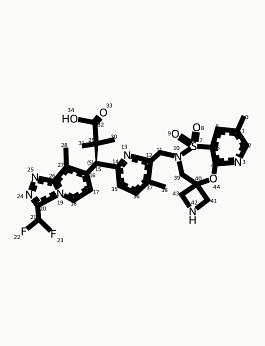 Cc1cnc2c(c1)S(=O)(=O)N(Cc1nc([C@@H](c3ccn4c(C(F)F)nnc4c3C)C(C)(C)C(=O)O)ccc1C)CC1(CNC1)O2